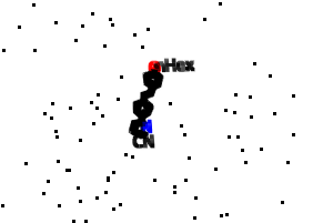 CCCCCCOc1ccc(CCc2ccc(-c3ccc(C#N)cn3)cc2)cc1